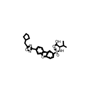 CC(C)[C@@H](NS(=O)(=O)c1ccc2oc3cc(-c4noc(CC5CCCC5)n4)ccc3c2c1)C(=O)O